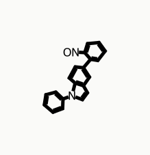 O=Nc1ccccc1-c1ccc2c(ccn2-c2ccccc2)c1